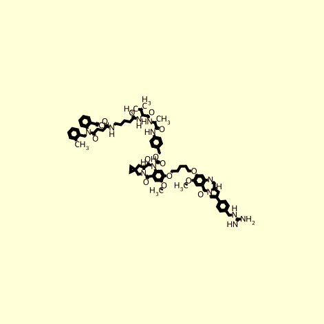 C#Cc1ccccc1N(Cc1ccccc1C)C(=O)CCC(=O)NCCCCC(=O)N[C@H](C(=O)N[C@@H](C)C(=O)Nc1ccc(COC(=O)N2c3cc(OCCCCCOc4cc5c(cc4OC)C(=O)N4C=C(c6ccc(CNC(=N)N)cc6)C[C@H]4C=N5)c(OC)cc3C(=O)N3CC4(CC4)C[C@H]3C2O)cc1)C(C)C